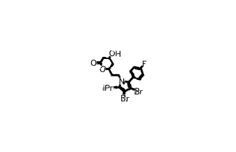 CC(C)c1c(Br)c(Br)c(-c2ccc(F)cc2)n1CCC1CC(O)CC(=O)O1